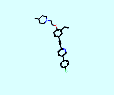 C=Cc1cc(C#Cc2ccc(-c3ccc(Cl)cc3)cn2)ccc1OCCN1CCC(C)CC1